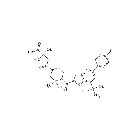 CC(C)(CC(=O)N1CCN(C(=O)c2cn3nc(-c4ccc(F)cc4)cc(C(C)(C)C)c3n2)C(C)(C)C1)C(=O)O